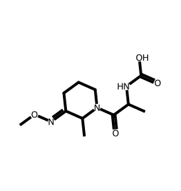 CON=C1CCCN(C(=O)C(C)NC(=O)O)C1C